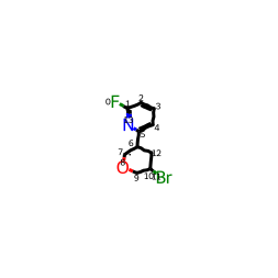 Fc1cccc(C2[CH]OCC(Br)C2)n1